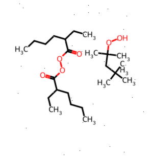 CC(C)(C)CC(C)(C)OO.CCCCC(CC)C(=O)OOC(=O)C(CC)CCCC